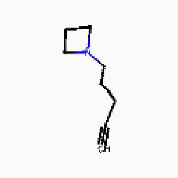 C#CCCCN1CCC1